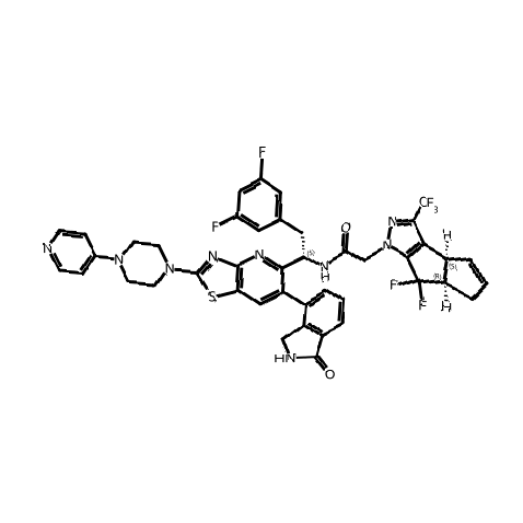 O=C(Cn1nc(C(F)(F)F)c2c1C(F)(F)[C@@H]1CC=C[C@H]21)N[C@@H](Cc1cc(F)cc(F)c1)c1nc2nc(N3CCN(c4ccncc4)CC3)sc2cc1-c1cccc2c1CNC2=O